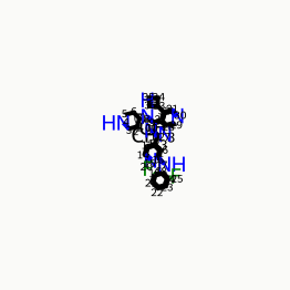 CC1(C)CNCC[C@@H]1Nc1nc(-c2ccnc(Nc3c(F)cccc3F)c2)nc2cncc(C3CCC3)c12